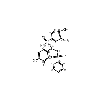 Cc1cc(S(=O)(=O)Nc2cc(Cl)c(Cl)cc2SNS(=O)(=O)c2ccccc2)ccc1Cl